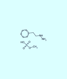 COS(=O)(=O)O.NNCCc1ccccc1